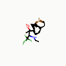 CCNC(C(F)(F)F)C(C)(O)c1ccc2c(c1)SCC2